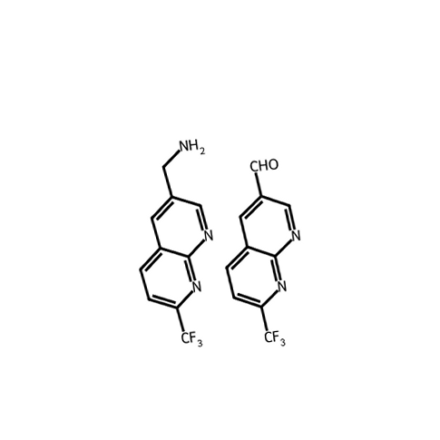 NCc1cnc2nc(C(F)(F)F)ccc2c1.O=Cc1cnc2nc(C(F)(F)F)ccc2c1